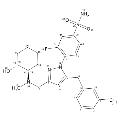 Cc1cccc(Cc2nc(CN(C)[C@@H]3CCCC[C@H]3O)nn2-c2ccc(S(N)(=O)=O)cc2F)c1